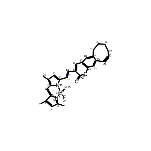 CC1=CC(C)=[N+]2C1=Cc1c(C)cc(/C=C/c3cc4cc5c(cc4oc3=O)C#CCCCC5)n1[B-]2(F)F